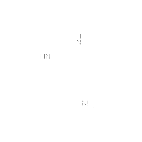 C/C(N)=C1/C=CNC1=N